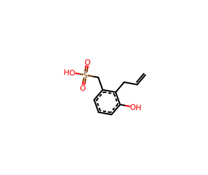 C=CCc1c(O)cccc1CS(=O)(=O)O